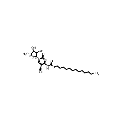 C#Cc1cn([C@@H]2O[C@H](C)C(O)C2O)c(=O)nc1NC(=O)OCCCCCCCCCCCCC